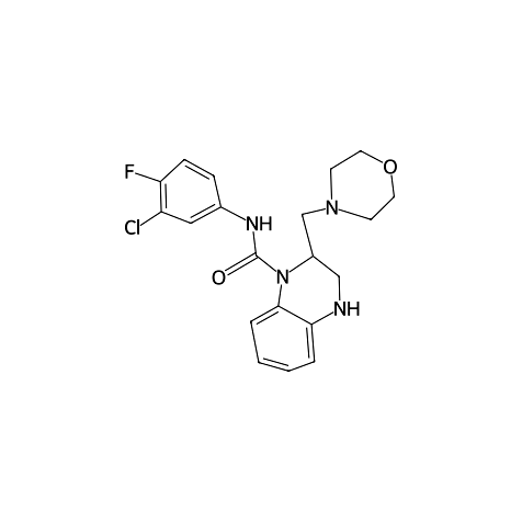 O=C(Nc1ccc(F)c(Cl)c1)N1c2ccccc2NCC1CN1CCOCC1